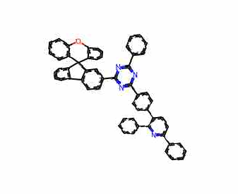 c1ccc(-c2ccc(-c3ccc(-c4nc(-c5ccccc5)nc(-c5ccc6c(c5)C5(c7ccccc7Oc7ccccc75)c5ccccc5-6)n4)cc3)c(-c3ccccc3)n2)cc1